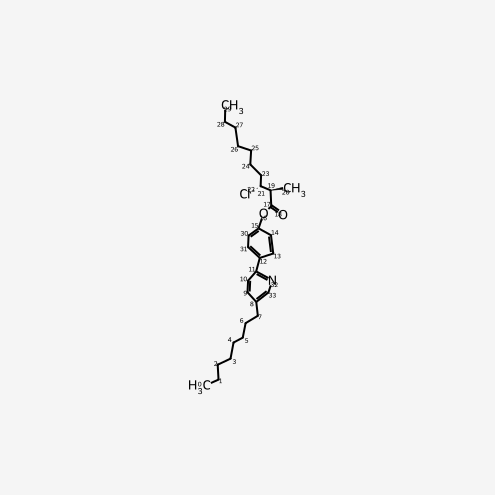 CCCCCCCCc1ccc(-c2ccc(OC(=O)[C@H](C)[C@H](Cl)CCCCCCC)cc2)nc1